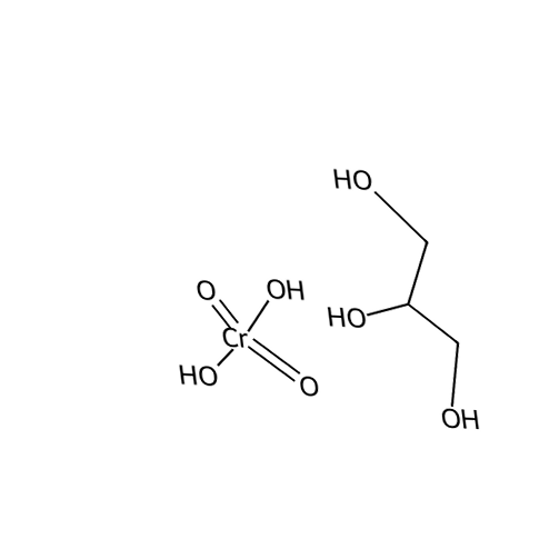 OCC(O)CO.[O]=[Cr](=[O])([OH])[OH]